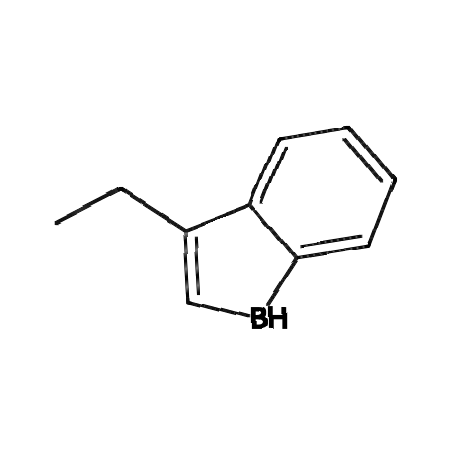 CCC1=CBc2ccccc21